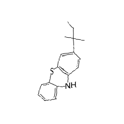 CCC(C)(C)c1ccc2c(c1)Sc1ccccc1N2